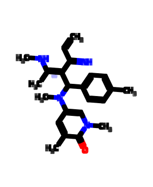 C=CC(=N)/C(=C(/C)NC)C(c1ccc(C)cc1)N(C)c1cc(C)c(=O)n(C)c1